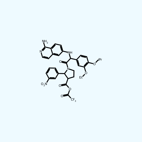 CCOc1cc(C(Nc2ccc3c(N)nccc3c2)C(=O)N2CCC(C(=O)OC(=O)C(F)(F)F)C2c2cccc([N+](=O)[O-])c2)ccc1OC(C)C